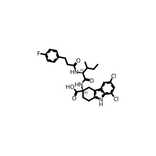 CCC(C)[C@H](NC(=O)CCc1ccc(F)cc1)C(=O)N[C@]1(C(=O)O)CCc2[nH]c3c(Cl)cc(Cl)cc3c2C1